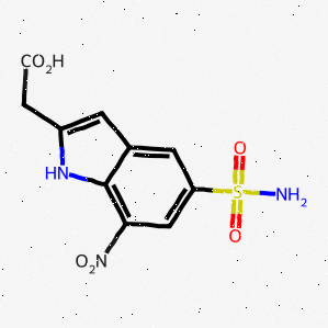 NS(=O)(=O)c1cc([N+](=O)[O-])c2[nH]c(CC(=O)O)cc2c1